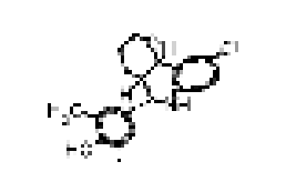 Cc1cc([C@@H]2Nc3ccc(Cl)cc3[C@H]3OCCC[C@H]32)ccc1O